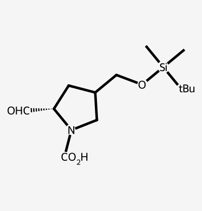 CC(C)(C)[Si](C)(C)OCC1C[C@@H](C=O)N(C(=O)O)C1